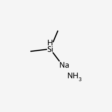 C[SiH](C)[Na].N